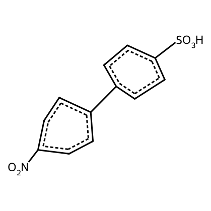 O=[N+]([O-])c1ccc(-c2ccc(S(=O)(=O)O)cc2)cc1